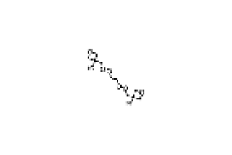 CCC1(COOCCOOCC2(CC)COC2)COC1